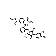 COC(=O)c1ccc(C(=O)OC)c(Nc2ccccc2CN2C(=O)N(c3ccc(C#N)c(C(F)(F)F)c3)C(=O)C2(C)C)c1